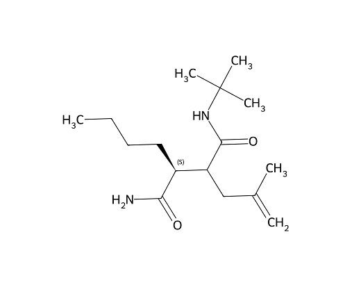 C=C(C)CC(C(=O)NC(C)(C)C)[C@H](CCCC)C(N)=O